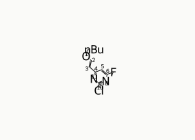 CCCCOC=Cc1cc(F)nc(Cl)n1